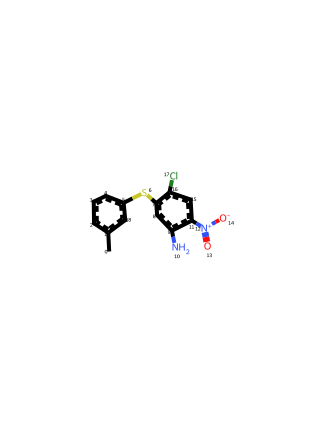 Cc1cccc(Sc2cc(N)c([N+](=O)[O-])cc2Cl)c1